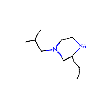 CCC1CN(CC(C)C)CCN1